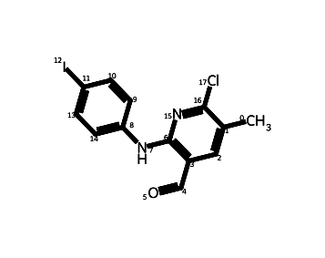 Cc1cc(C=O)c(Nc2ccc(I)cc2)nc1Cl